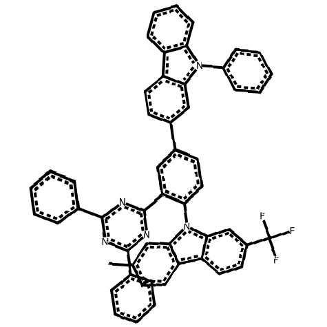 Cc1ccc2c3ccc(C(F)(F)F)cc3n(-c3ccc(-c4ccc5c6ccccc6n(-c6ccccc6)c5c4)cc3-c3nc(-c4ccccc4)nc(-c4ccccc4)n3)c2c1